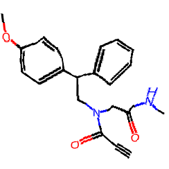 C#CC(=O)N(CC(=O)NC)CC(c1ccccc1)c1ccc(OC)cc1